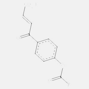 CCC(=O)Oc1ccc(C(=O)C=CC(=O)O)cc1